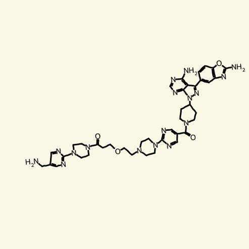 NCc1cnc(N2CCN(C(=O)CCOCCN3CCN(c4ncc(C(=O)N5CCC(n6nc(-c7ccc8oc(N)nc8c7)c7c(N)ncnc76)CC5)cn4)CC3)CC2)nc1